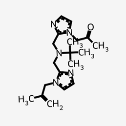 C=C(C)Cn1ccnc1CN(Cc1nccn1CC(C)=O)C(C)(C)C